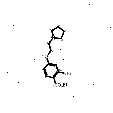 CCOC(=O)c1ccc(OCCN2CCCC2)cc1Cl